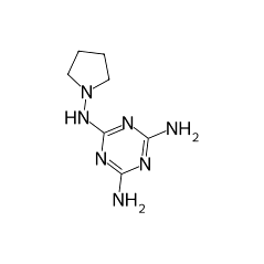 Nc1nc(N)nc(NN2CCCC2)n1